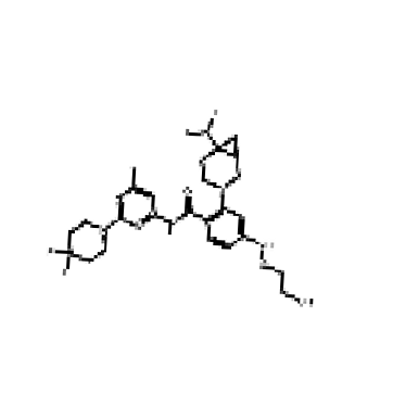 Cc1cc(NC(=O)c2ccc(NSCCO)cc2N2CCC3(C(F)F)CC3C2)nc(N2CCC(F)(F)CC2)n1